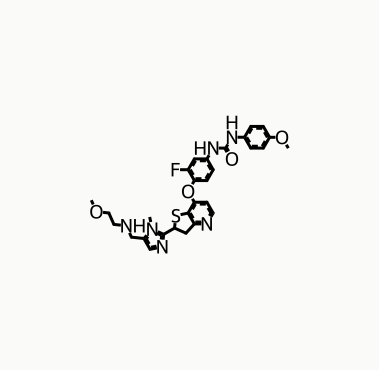 COCCNCc1cnc(C2Cc3nccc(Oc4ccc(NC(=O)Nc5ccc(OC)cc5)cc4F)c3S2)n1C